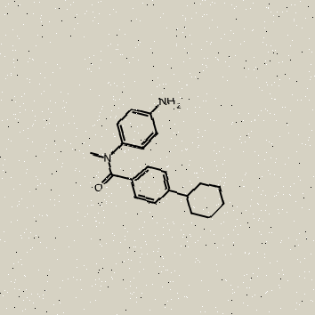 CN(C(=O)c1ccc(C2CCCCC2)cc1)c1ccc(N)cc1